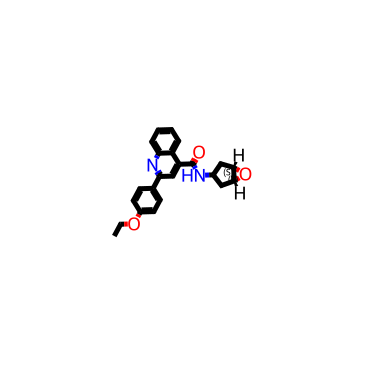 CCOc1ccc(-c2cc(C(=O)NC3C[C@@H]4O[C@@H]4C3)c3ccccc3n2)cc1